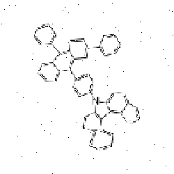 c1ccc(-c2ccc3c(-c4ccccc4)c4ccccc4c(-c4ccc(-n5c6ccc7ccccc7c6c6c7ccccc7ccc65)cc4)c3c2)cc1